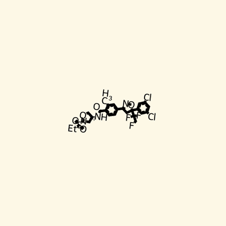 CCS(=O)(=O)N1C[C@@H](NC(=O)c2ccc(C3=NOC(c4cc(Cl)cc(Cl)c4)(C(F)(F)CF)C3)cc2C)CO1